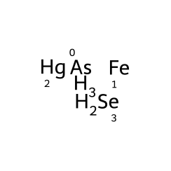 [AsH3].[Fe].[Hg].[SeH2]